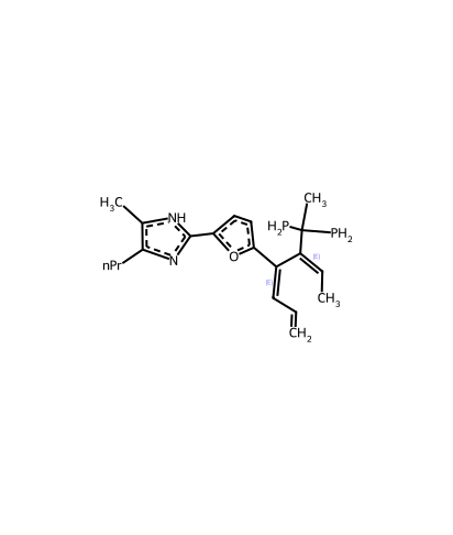 C=C/C=C(\C(=C/C)C(C)(P)P)c1ccc(-c2nc(CCC)c(C)[nH]2)o1